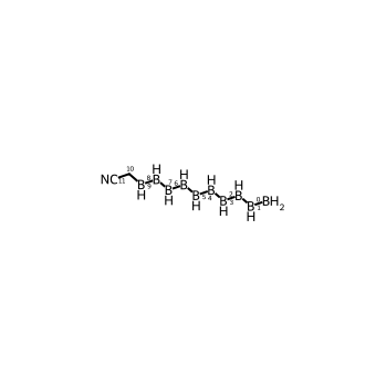 BBBBBBBBBBCC#N